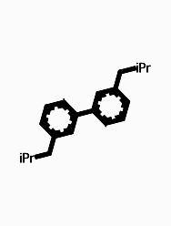 CC(C)Cc1cc[c]c(-c2[c]ccc(CC(C)C)c2)c1